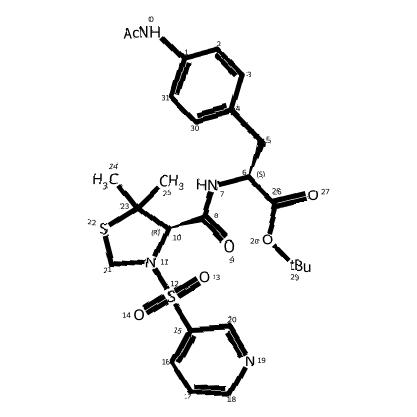 CC(=O)Nc1ccc(C[C@H](NC(=O)[C@H]2N(S(=O)(=O)c3cccnc3)CSC2(C)C)C(=O)OC(C)(C)C)cc1